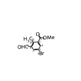 COC(=O)c1cc(Br)cc(C=O)c1C